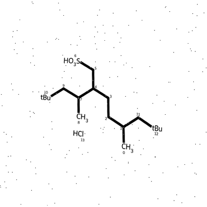 CC(CCC(CS(=O)(=O)O)C(C)CC(C)(C)C)CC(C)(C)C.Cl